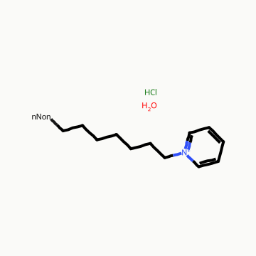 CCCCCCCCCCCCCCCC[n+]1ccccc1.Cl.O